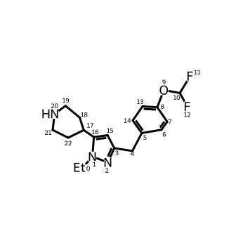 CCn1nc(Cc2ccc(OC(F)F)cc2)cc1C1CCNCC1